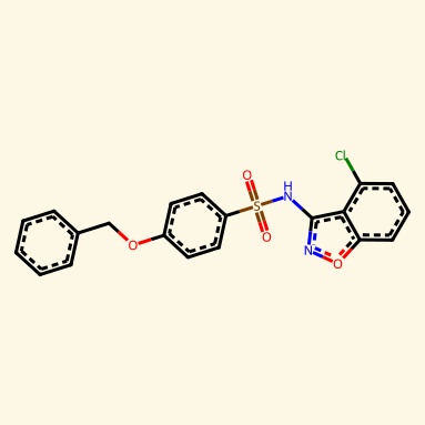 O=S(=O)(Nc1noc2cccc(Cl)c12)c1ccc(OCc2ccccc2)cc1